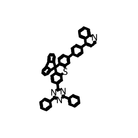 c1ccc(-c2nc(-c3ccccc3)nc(-c3ccc4c(c3)Sc3cc(-c5ccc(-c6ccnc7ccccc67)cc5)ccc3C43c4ccccc4-c4ccccc43)n2)cc1